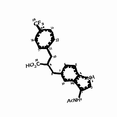 CC(=O)Nc1c[nH]c2ccc(CC(Cc3ccc(C(F)(F)F)cc3)C(=O)O)cc12